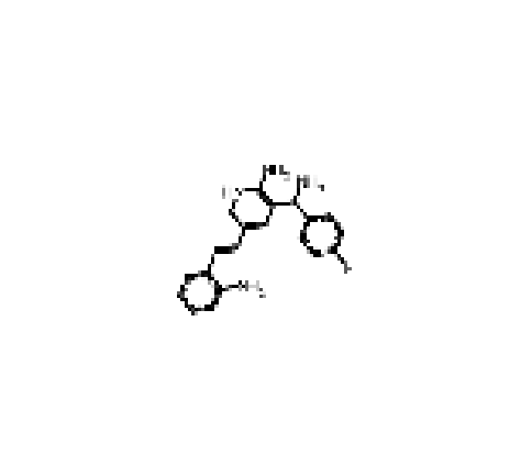 NC1=C(C(N)c2ccc(F)cc2)C=C(C=Cc2ccccc2N)CN1